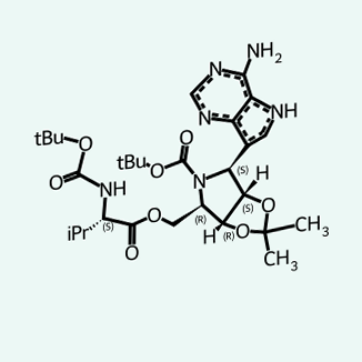 CC(C)[C@H](NC(=O)OC(C)(C)C)C(=O)OC[C@@H]1[C@H]2OC(C)(C)O[C@H]2[C@H](c2c[nH]c3c(N)ncnc23)N1C(=O)OC(C)(C)C